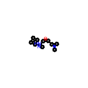 c1ccc(-n2c3ccccc3c3cc(-c4ccc5oc6ccc(C7NC(c8cccc9c8-c8ccccc8C98c9ccccc9-c9ccccc98)=Nc8ccccc87)cc6c5c4)ccc32)cc1